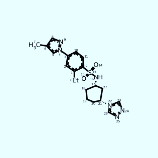 CCc1cc(-n2cc(C)cn2)ccc1S(=O)(=O)N[C@H]1CCC[C@@H](n2cnnc2)C1